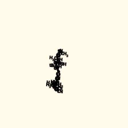 Cc1ncsc1-c1ccc([C@H](C)NC(=O)[C@@H]2C[C@@H](O)CN2C(=O)C(NC(=O)CCCN2CCN(c3ccc(C(=O)NC4C(C)(C)C(Oc5ccc(C#N)c(Cl)c5)C4(C)C)cn3)CC2)C(C)(C)C)cc1